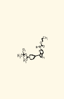 C=CCOC(=O)Nc1ccc2[nH]cc(C3CCN(C(=O)OC(C)(C)C)CC3)c2n1